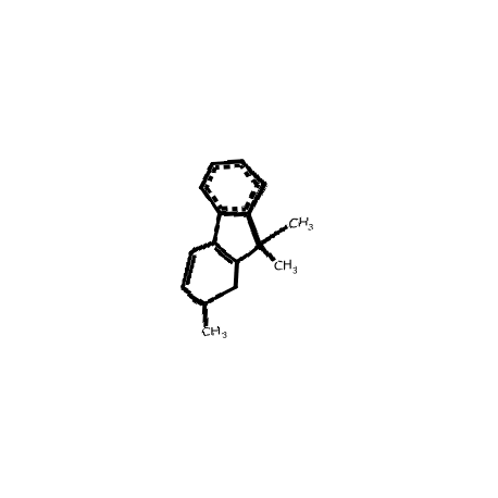 CC1C=CC2=C(C1)C(C)(C)c1ccccc12